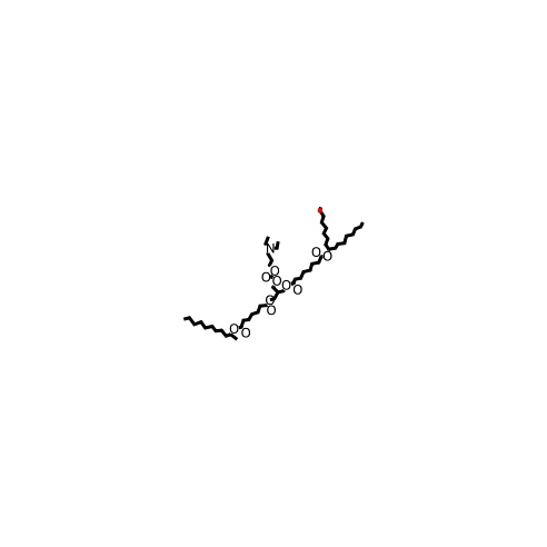 CCCCCCCCCC(C)OC(=O)CCCCCC(=O)OCC(COC(=O)CCCCCCC(=O)OC(CCCCCCCC)CCCCCCCC)COC(=O)OCCCN(CC)CC